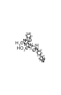 Cc1nc(N2C[C@@H](CC(=O)Nc3ccc(-c4ccnnc4)cc3)C[C@H]2C(=O)O)c2oc3ccccc3c2n1